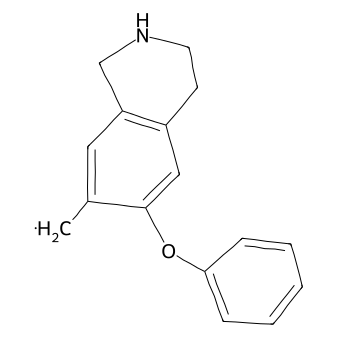 [CH2]c1cc2c(cc1Oc1ccccc1)CCNC2